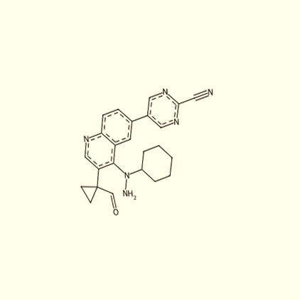 N#Cc1ncc(-c2ccc3ncc(C4(C=O)CC4)c(N(N)C4CCCCC4)c3c2)cn1